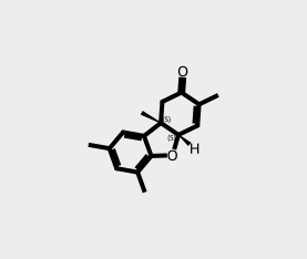 CC1=C[C@@H]2Oc3c(C)cc(C)cc3[C@]2(C)CC1=O